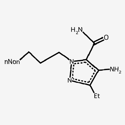 CCCCCCCCCCCCn1nc(CC)c(N)c1C(N)=O